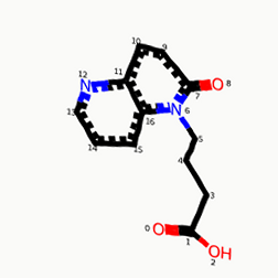 O=C(O)CCCn1c(=O)ccc2ncccc21